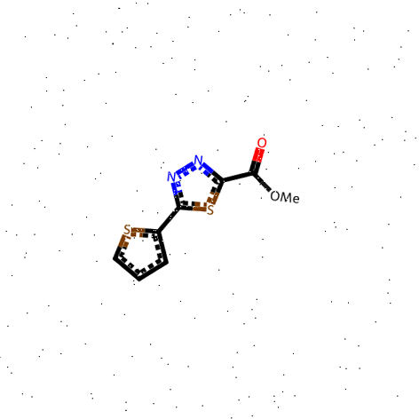 COC(=O)c1nnc(-c2cccs2)s1